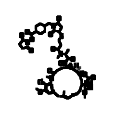 COc1cc2cc(c1Cl)N(C)C(=O)C[C@H](O)[C@]1(CC(=O)[C@H](C)N(C)C(=O)CCSC3CC(=O)N(CC4CCC(C(=O)ON5C(=O)CCC5=O)CC4)C3=O)C[C@H]1[C@H](C)[C@@H]1C[C@@](O)(NC(=O)O1)[C@H](OC)/C=C/C=C(\C)C2